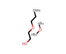 CCCCOCCCC.COCCOCCO